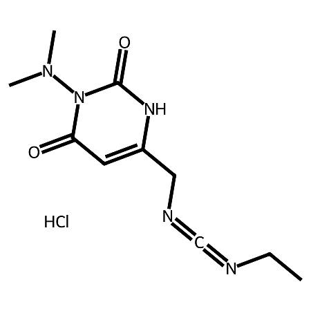 CCN=C=NCc1cc(=O)n(N(C)C)c(=O)[nH]1.Cl